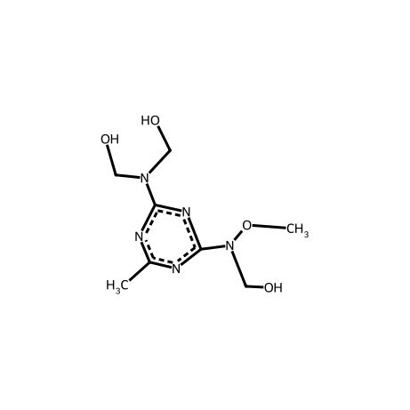 CON(CO)c1nc(C)nc(N(CO)CO)n1